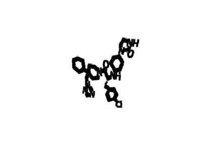 O=C([C@@H](Cc1ccc(Cl)cc1)N[C@H]1CC[C@@H](N2CCNC2=O)CC1)N1CCC(Cn2cncn2)(C2CCCCC2)CC1